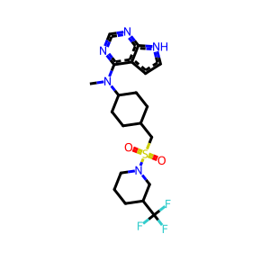 CN(c1ncnc2[nH]ccc12)C1CCC(CS(=O)(=O)N2CCCC(C(F)(F)F)C2)CC1